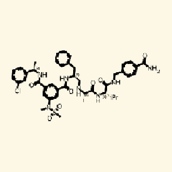 CC(C)[C@H](NC(=O)[C@H](C)NC[C@H](Cc1ccccc1)NC(=O)c1cc(C(=O)N[C@H](C)c2cccc(Cl)c2)cc(N(C)S(C)(=O)=O)c1)C(=O)NCc1ccc(C(N)=O)cc1